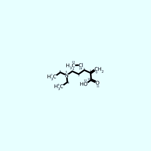 C=C(CCCN(CC)CC)C(=O)O.CCl